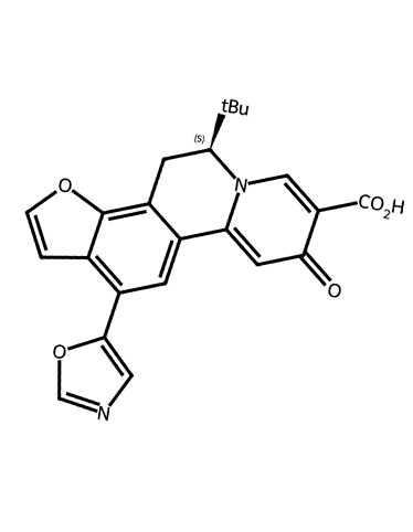 CC(C)(C)[C@@H]1Cc2c(cc(-c3cnco3)c3ccoc23)-c2cc(=O)c(C(=O)O)cn21